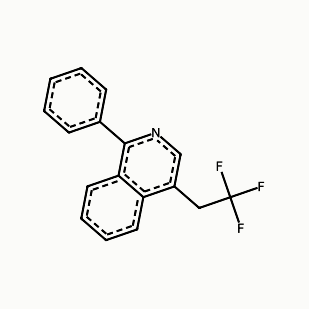 FC(F)(F)Cc1cnc(-c2ccccc2)c2ccccc12